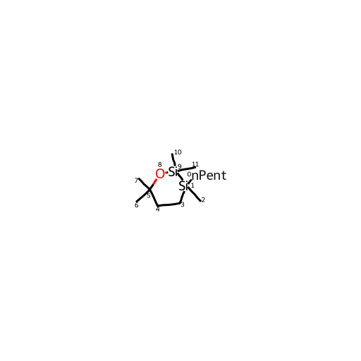 CCCCC[Si]1(C)CCC(C)(C)O[Si]1(C)C